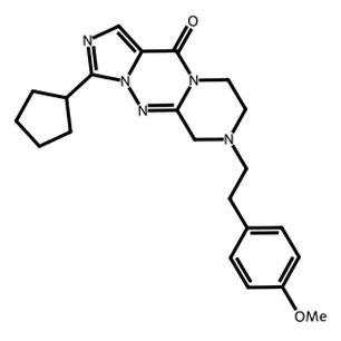 COc1ccc(CCN2CCn3c(nn4c(C5CCCC5)ncc4c3=O)C2)cc1